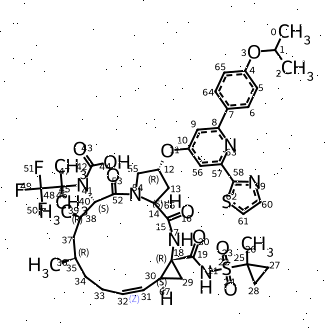 CC(C)Oc1ccc(-c2cc(O[C@@H]3C[C@H]4C(=O)N[C@]5(C(=O)NS(=O)(=O)C6(C)CC6)C[C@H]5/C=C\CC[C@@H](C)C[C@@H](C)[C@H](N(C(=O)O)C(C)(C)C(F)(F)F)C(=O)N4C3)cc(-c3nccs3)n2)cc1